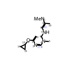 C=C(/N=C\N(C)CN/C=C(\C)NC)OC1CC1